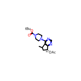 CC(=O)O[C@@H]1CC(C)c2c1ncnc2N1CCN(C(=O)OC(C)(C)C)CC1